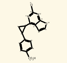 O=C(O)c1ccc(C2CC2c2nc(Cl)nc3sccc23)cc1